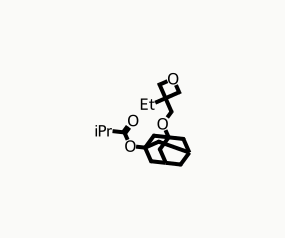 CCC1(COC23CC4CC(C2)CC(OC(=O)C(C)C)(C4)C3)COC1